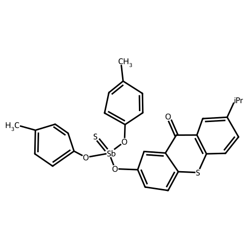 Cc1ccc([O][Sb](=[S])([O]c2ccc(C)cc2)[O]c2ccc3sc4ccc(C(C)C)cc4c(=O)c3c2)cc1